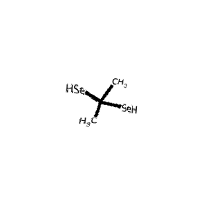 CC(C)([SeH])[SeH]